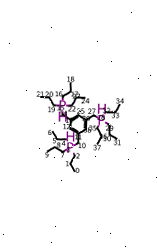 CCC[PH](CCC)(CCC)Cc1cc(C[PH](CCC)(CCC)CCC)cc(C[PH](CCC)(CCC)CCC)c1